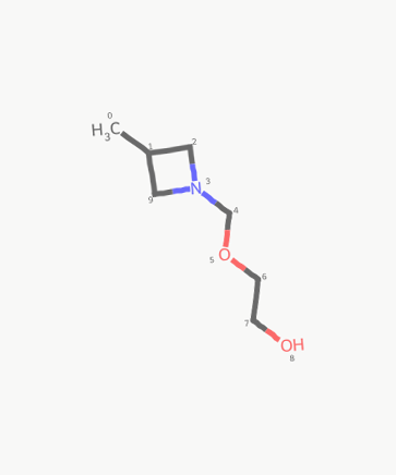 CC1CN(COCCO)C1